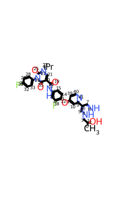 CC(O)CN/C=C(\C=N)c1cc(Oc2ccc(NC(=O)c3cn(C(C)C)c(=O)n(-c4ccc(F)cc4)c3=O)cc2F)ccn1